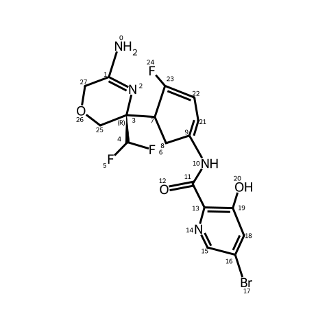 NC1=N[C@](C(F)F)(C2CC(NC(=O)c3ncc(Br)cc3O)=CC=C2F)COC1